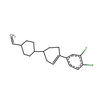 C=CC1CCC(C2CC=C(c3ccc(F)c(F)c3)CC2)CC1